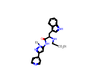 CCOC(=O)CNC(Cc1c[nH]c2ccccc12)C(=O)Nc1cc(-c2ccncc2)nn1CC